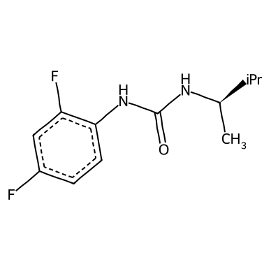 CC(C)[C@@H](C)NC(=O)Nc1ccc(F)cc1F